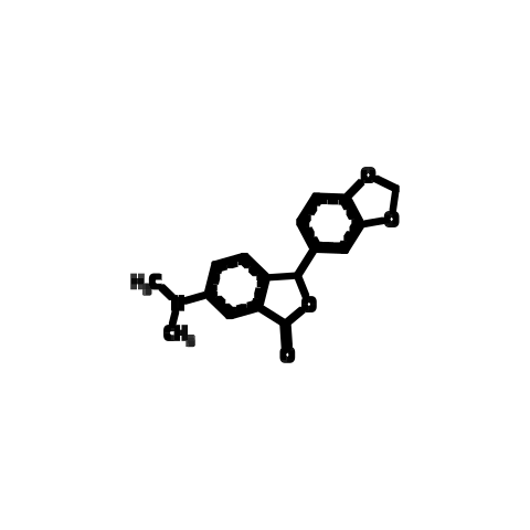 CN(C)c1ccc2c(c1)C(=O)OC2c1ccc2c(c1)OCO2